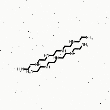 NCCNCCNCCNCCN.NCCNCCNCCNCCNCCN